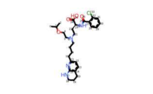 CC(C)OCCN(CCCCc1ccc2c(n1)NCCC2)CC[C@H](NC(=O)c1ccccc1Cl)C(=O)O